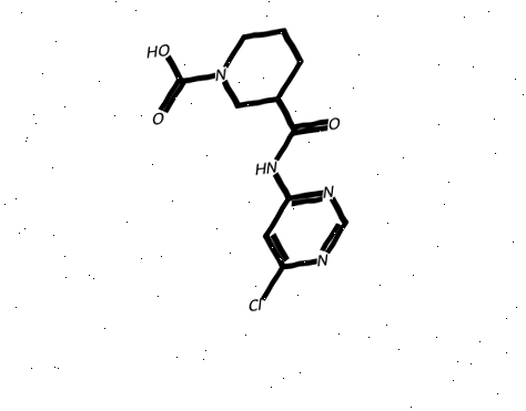 O=C(Nc1cc(Cl)ncn1)C1CCCN(C(=O)O)C1